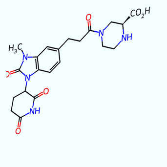 Cn1c(=O)n(C2CCC(=O)NC2=O)c2ccc(CCC(=O)N3CCN[C@H](C(=O)O)C3)cc21